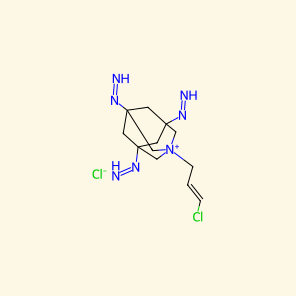 N=NC12CC3(N=N)CC(N=N)(C1)C[N+](CC=CCl)(C2)C3.[Cl-]